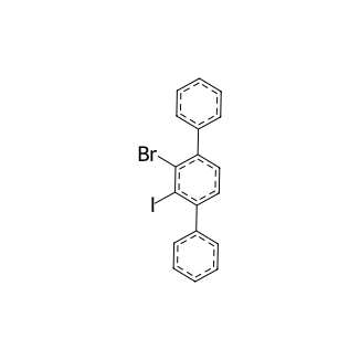 Brc1c(-c2ccccc2)ccc(-c2ccccc2)c1I